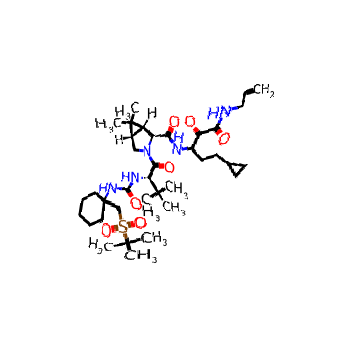 C=CCNC(=O)C(=O)C(CCC1CC1)NC(=O)[C@@H]1[C@@H]2[C@H](CN1C(=O)[C@@H](NC(=O)NC1(CS(=O)(=O)C(C)(C)C)CCCCC1)C(C)(C)C)C2(C)C